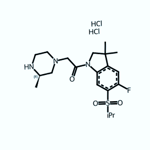 CC(C)S(=O)(=O)c1cc2c(cc1F)C(C)(C)CN2C(=O)CN1CCN[C@H](C)C1.Cl.Cl